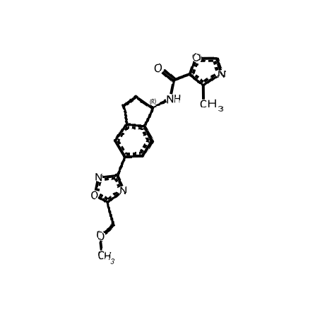 COCc1nc(-c2ccc3c(c2)CC[C@H]3NC(=O)c2ocnc2C)no1